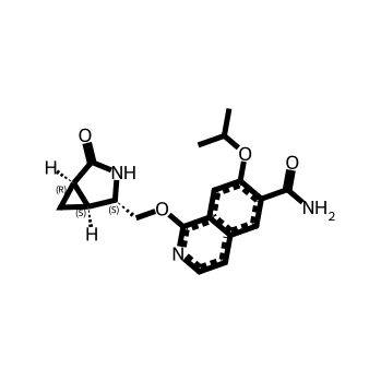 CC(C)Oc1cc2c(OC[C@H]3NC(=O)[C@@H]4C[C@H]34)nccc2cc1C(N)=O